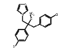 O=[N+]([O-])OC(Cc1ccc(Cl)cc1)(Cn1ccnc1)c1ccc(Br)cc1